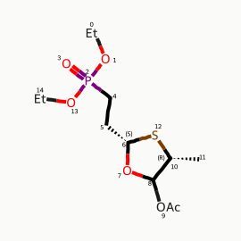 CCOP(=O)(CC[C@H]1OC(OC(C)=O)[C@@H](C)S1)OCC